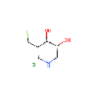 Cl.OC1CNCC(CF)C1O